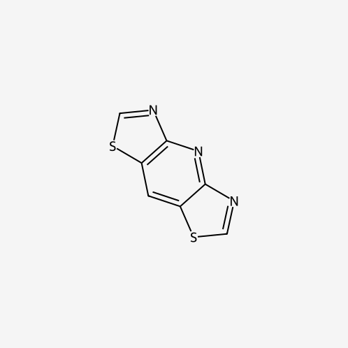 c1nc2nc3ncsc3cc2s1